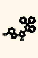 Nc1ncnc2c1ncn2[C@@H]1O[C@H](C(O)OC(c2ccccc2)(c2ccccc2)c2ccccc2)C[C@H]1O